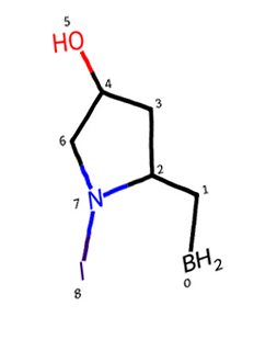 BCC1CC(O)CN1I